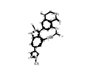 CCn1cc(-c2cc(OC)c3c(-c4cc(OC(F)F)c5c(c4)[C@@H](C)CNC5=O)n(C)nc3c2)cn1